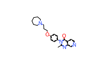 Cc1nc2cnccc2c(=O)n1-c1ccc(OCCCN2CCCCCC2)cc1